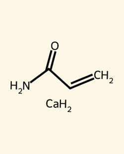 C=CC(N)=O.[CaH2]